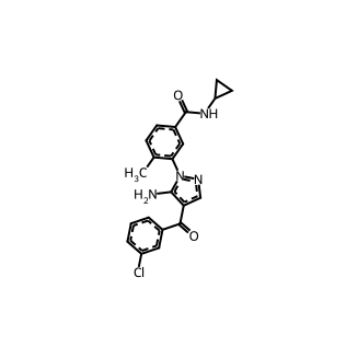 Cc1ccc(C(=O)NC2CC2)cc1-n1ncc(C(=O)c2cccc(Cl)c2)c1N